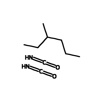 CCCC(C)CC.N=C=O.N=C=O